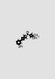 CC(C)c1cccc(C2CC3(C2)CN(C(=O)[C@H]2C[C@@](C)(O)C2)C3)c1